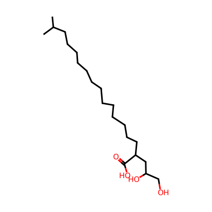 CC(C)CCCCCCCCCCCCCC(CC(O)CO)C(=O)O